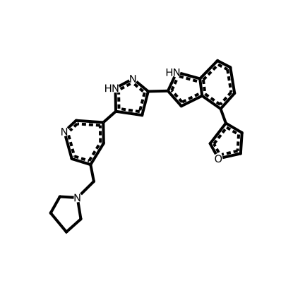 c1cc(-c2ccoc2)c2cc(-c3cc(-c4cncc(CN5CCCC5)c4)[nH]n3)[nH]c2c1